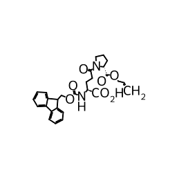 C=CCOC(=O)[C@H]1CCCN1C(=O)CC[C@H](NC(=O)OCC1c2ccccc2-c2ccccc21)C(=O)O